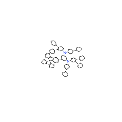 c1ccc(-c2ccc(N(c3cc(-c4ccc5c(c4)-c4ccccc4C54c5ccccc5-c5ccccc54)cc(N(c4ccc(-c5ccccc5)cc4)c4ccc(-c5ccccc5)c(-c5ccccc5)c4)c3)c3ccc(-c4ccccc4)c(-c4ccccc4)c3)cc2)cc1